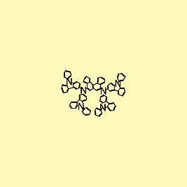 c1ccc(-n2c3ccccc3c3cc(N(c4ccc5c(c4)c4ccccc4n5-c4ccccc4)c4cc5cc(N(c6ccc7c(c6)c6ccccc6n7-c6ccccc6)c6ccc7c(c6)c6ccccc6n7-c6ccccc6)c6ccccc6c5c5ccccc45)ccc32)cc1